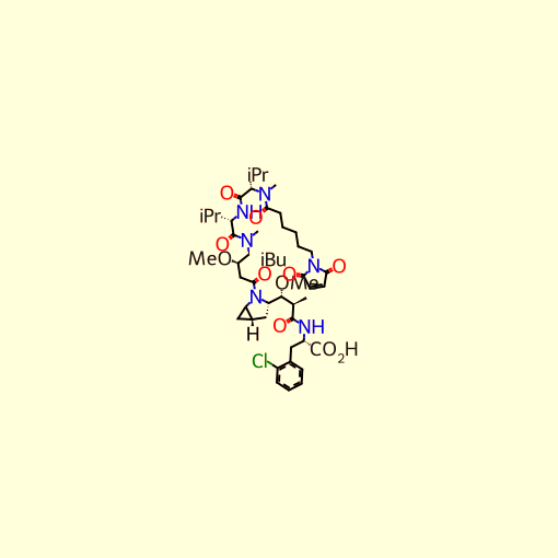 CC[C@H](C)[C@@H]([C@@H](CC(=O)N1C2C[C@H]2C[C@H]1[C@H](OC)[C@@H](C)C(=O)N[C@@H](Cc1ccccc1Cl)C(=O)O)OC)N(C)C(=O)[C@@H](NC(=O)[C@H](C(C)C)N(C)C(=O)CCCCCN1C(=O)C=CC1=O)C(C)C